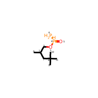 CC(CO[PH](=O)P)CC(C)(C)C